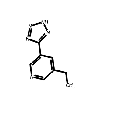 CCc1cncc(-c2nn[nH]n2)c1